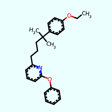 CCOc1ccc(C(C)(C)CCCc2cccc(Oc3ccccc3)n2)cc1